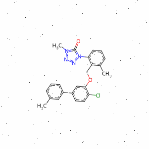 Cc1cccc(-c2ccc(Cl)c(OCc3c(C)cccc3-n3nnn(C)c3=O)c2)c1